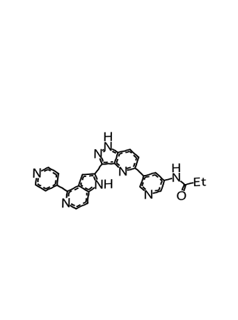 CCC(=O)Nc1cncc(-c2ccc3[nH]nc(-c4cc5c(-c6ccncc6)nccc5[nH]4)c3n2)c1